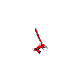 CCCOCCOCCOCCOCCOCCOCCOCCOCCOCCC(=O)N[C@@H](Cc1ccccc1)C(=O)N[C@@H](CCCCN)C(=O)Nc1ccc(COC(=O)N[C@H]2CCc3c(C)c(F)cc4nc5c(c2c34)Cn2c-5cc3c(c2=O)COC(=O)C3CC)cc1OC